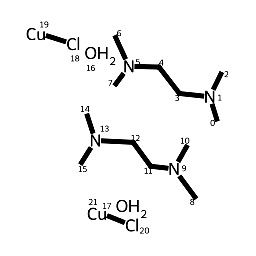 CN(C)CCN(C)C.CN(C)CCN(C)C.O.O.[Cl][Cu].[Cl][Cu]